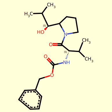 CC(C)[C@H](O)C1CCCN1C(=O)[C@@H](NC(=O)OCc1ccccc1)C(C)C